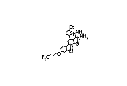 CCc1ccc(-c2cc(-c3ccc(OCCCC(F)(F)F)cc3Cl)[nH]c(=O)c2/C(=N/N)NN)s1